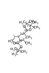 CCC(/C=C(\C)B1OC(C)(C)C(C)(C)O1)N(CC)C(=O)OC(C)(C)C